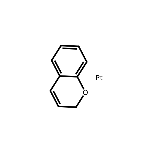 C1=Cc2ccccc2OC1.[Pt]